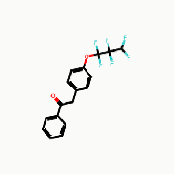 O=C(Cc1ccc(OC(F)(F)C(F)(F)C(F)F)cc1)c1ccccc1